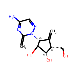 C=C1[C@@H](N2N=CC(N)=NC2=C)C(O)[C@@H](O)[C@H]1CO